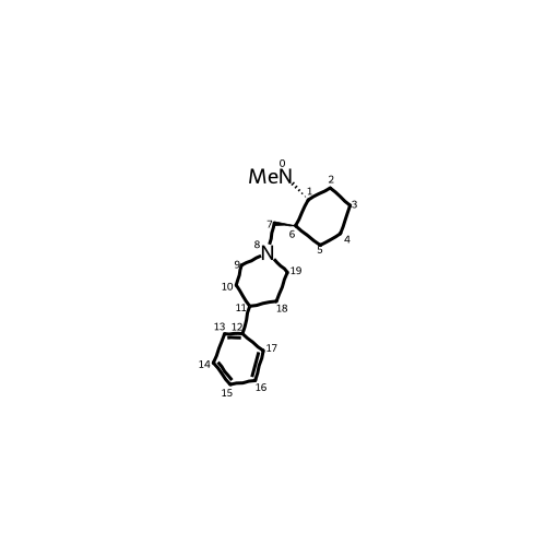 CN[C@@H]1CCCC[C@H]1CN1CCC(c2ccccc2)CC1